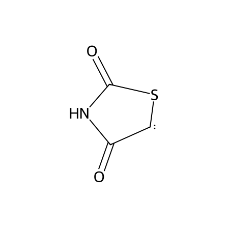 O=C1[C]SC(=O)N1